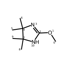 COC1=NC(C)(C)C(C)(C)N1